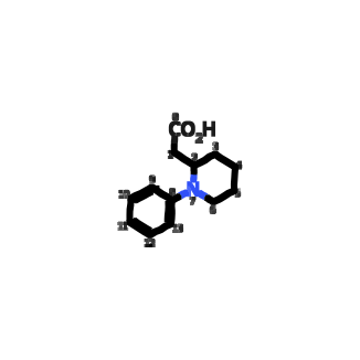 O=C(O)CC1CCCCN1c1[c]cccc1